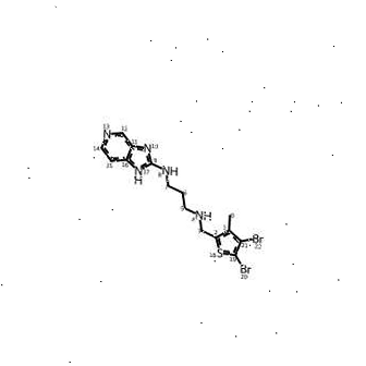 Cc1c(CNCCCNc2nc3cnccc3[nH]2)sc(Br)c1Br